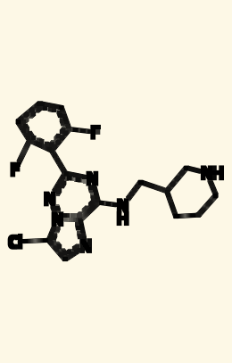 Fc1cccc(F)c1-c1nc(NCC2CCCNC2)c2ncc(Cl)n2n1